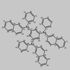 c1ccc([As](c2ccc3ccccc3c2)c2nc([As](c3ccccc3)c3ccc4ccccc4c3)nc([As](c3ccccc3)c3ccc4ccccc4c3)n2)cc1